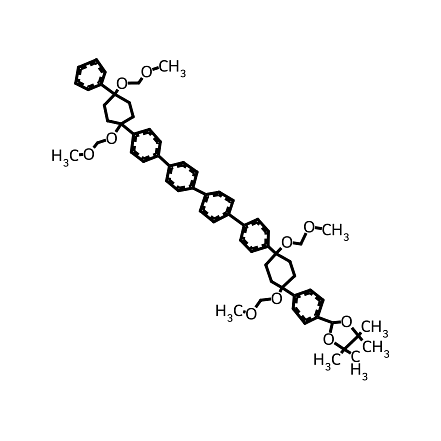 COCOC1(c2ccccc2)CCC(OCOC)(c2ccc(-c3ccc(-c4ccc(-c5ccc(C6(OCOC)CCC(OCOC)(c7ccc(C8OC(C)(C)C(C)(C)O8)cc7)CC6)cc5)cc4)cc3)cc2)CC1